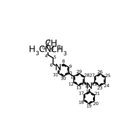 C[N+](C)(C)CCC[n+]1ccc(-c2ccc(N(c3ccccc3)c3ccccc3)cc2)cc1